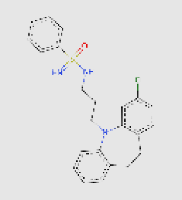 N=S(=O)(NCCCN1c2ccccc2CCc2ccc(Cl)cc21)c1ccccc1